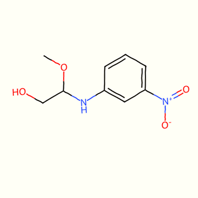 COC(CO)Nc1cccc([N+](=O)[O-])c1